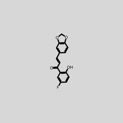 O=C(/C=C/c1ccc2c(c1)OCO2)c1cc(F)ccc1O